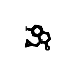 O=C1CCc2ccc(I)cc2N1CC1CC1